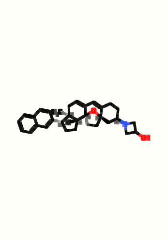 C[C@]12CC=C3C=C4CC[C@@H](N5CC(O)C5)C[C@]45CC[C@]3(O5)[C@@H]1CC[C@@H]2c1ccc2ccccc2c1